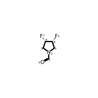 O=CN1C[C@@H](F)[C@@H](F)C1